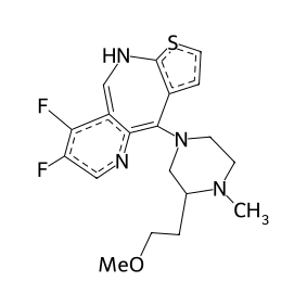 COCCC1CN(C2=c3ncc(F)c(F)c3=CNc3sccc32)CCN1C